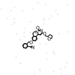 N#Cc1ccccc1COc1ccc2c(c1)CCn1c-2cc(OCC2CCCO2)nc1=O